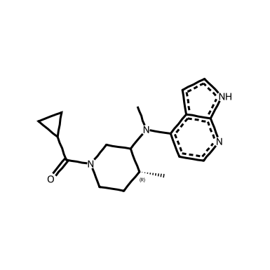 C[C@@H]1CCN(C(=O)C2CC2)CC1N(C)c1ccnc2[nH]ccc12